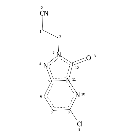 N#CCCn1nc2ccc(Cl)nn2c1=O